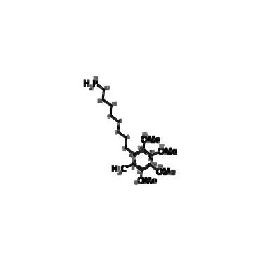 COc1c(C)c(CCCCCCCCP)c(OC)c(OC)c1OC